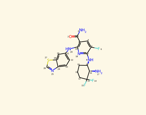 NC(=O)c1cc(F)c(N[C@@H]2CCCC(F)(F)[C@@H]2N)nc1Nc1ccc2ncsc2c1